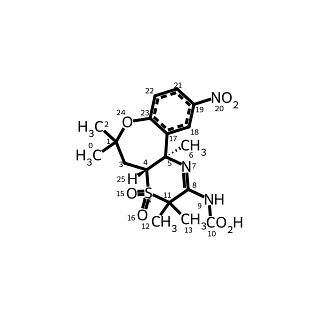 CC1(C)C[C@@H]2[C@](C)(N=C(NC(=O)O)C(C)(C)S2(=O)=O)c2cc([N+](=O)[O-])ccc2O1